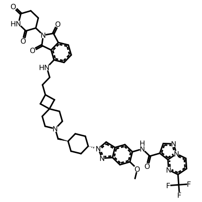 COc1cc2nn([C@H]3CC[C@H](CN4CCC5(CC4)CC(CCNc4cccc6c4C(=O)N(C4CCC(=O)NC4=O)C6=O)C5)CC3)cc2cc1NC(=O)c1cnn2ccc(C(F)(F)F)nc12